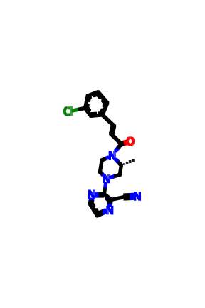 C[C@@H]1CN(c2nccnc2C#N)CCN1C(=O)/C=C/c1cccc(Cl)c1